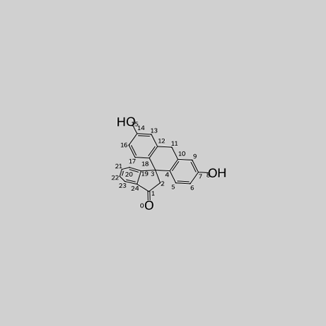 O=C1CC2(c3ccc(O)cc3Cc3cc(O)ccc32)c2ccccc21